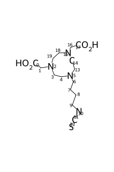 O=C(O)CN1CCN(CCCCN=C=S)CCN(CC(=O)O)CC1